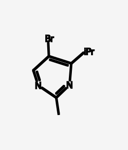 Cc1ncc(Br)c(C(C)C)n1